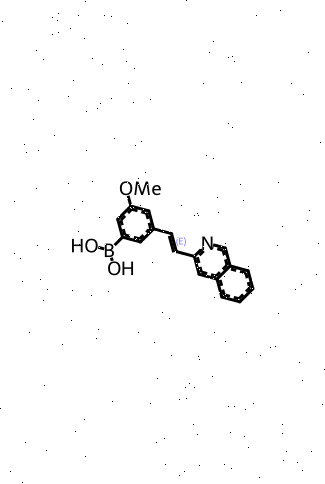 COc1cc(/C=C/c2cc3ccccc3cn2)cc(B(O)O)c1